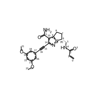 C=CC(=O)NC[C@H]1CCc2c(C(N)=O)c(C#Cc3cc(OC)cc(OC)c3)nn21